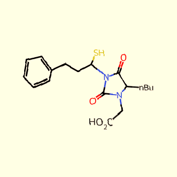 CCCCC1C(=O)N(C(S)CCc2ccccc2)C(=O)N1CC(=O)O